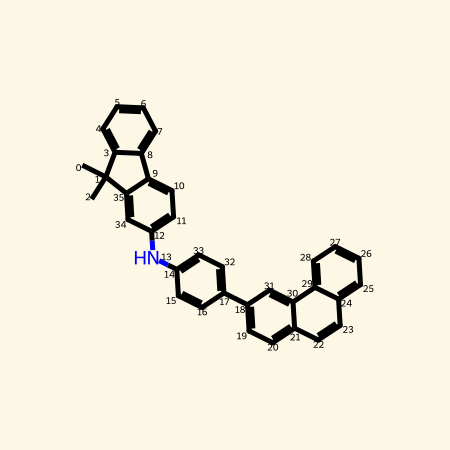 CC1(C)c2ccccc2-c2ccc(Nc3ccc(-c4ccc5ccc6ccccc6c5c4)cc3)cc21